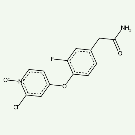 NC(=O)Cc1ccc(Oc2cc[n+]([O-])c(Cl)c2)c(F)c1